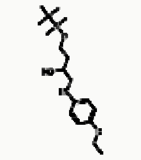 CCOc1ccc(NCC(O)CCO[Si](C)(C)C(C)(C)C)cc1